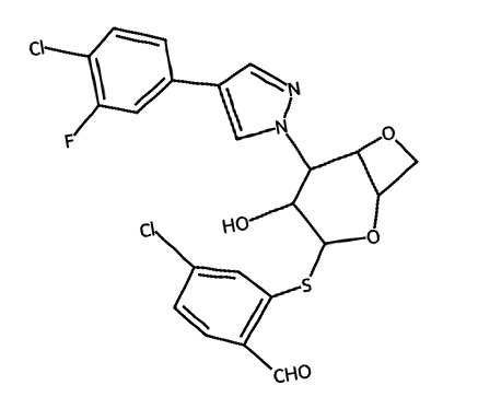 O=Cc1ccc(Cl)cc1SC1OC2COC2C(n2cc(-c3ccc(Cl)c(F)c3)cn2)C1O